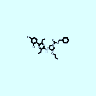 CCc1nc(-c2ccc(Cl)cc2Cl)c(CC)nc1N[C@@H]1CN(C(=O)OCc2ccccc2)C[C@@H]1OCCF